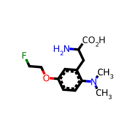 CN(C)c1ccc(OCCF)cc1CC(N)C(=O)O